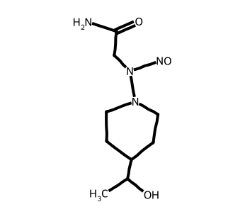 CC(O)C1CCN(N(CC(N)=O)N=O)CC1